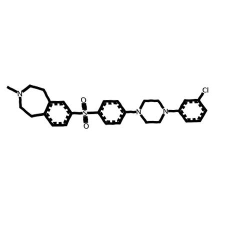 CN1CCc2ccc(S(=O)(=O)c3ccc(N4CCN(c5cccc(Cl)c5)CC4)cc3)cc2CC1